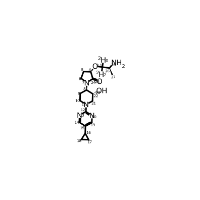 [2H]C([2H])(O[C@@H]1CCN([C@@H]2CCN(c3ncc(C4CC4)cn3)C[C@H]2O)C1=O)[C@H](C)N